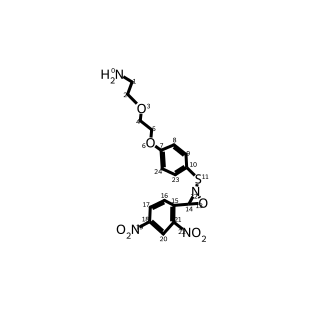 NCCOCCOc1ccc(SN2OC2c2ccc([N+](=O)[O-])cc2[N+](=O)[O-])cc1